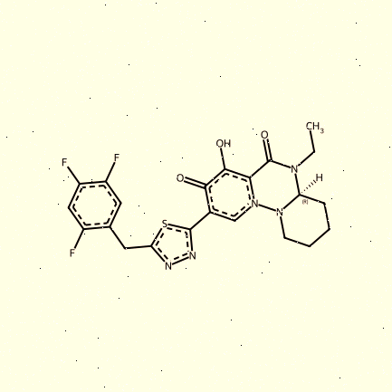 CCN1C(=O)c2c(O)c(=O)c(-c3nnc(Cc4cc(F)c(F)cc4F)s3)cn2N2CCCC[C@H]12